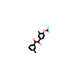 Cc1cccc(C(=O)C(=O)c2ccc(OC(F)F)c(C)c2)c1